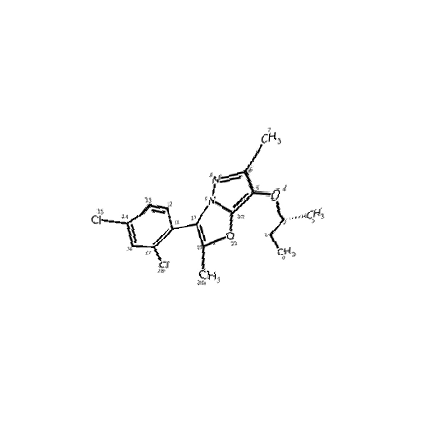 CC[C@@H](C)Oc1c(C)nn2c(-c3ccc(Cl)cc3Cl)c(C)oc12